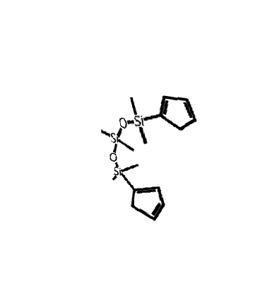 C[Si](C)(O[Si](C)(C)C1=CC=CC1)O[Si](C)(C)C1=CC=CC1